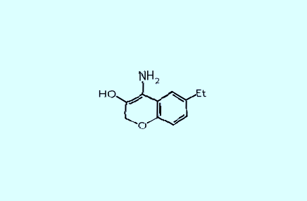 CCc1ccc2c(c1)C(N)=C(O)CO2